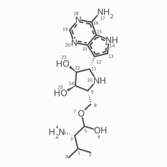 CC(C)[C@H](N)C(O)OC[C@H]1N[C@@H](c2c[nH]c3c(N)ncnc23)[C@H](O)[C@@H]1O